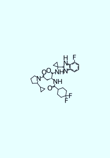 O=C(N[C@@H](CC(=O)N1CCCC1C1CC1)C(=O)NC1(c2nc3cccc(F)c3[nH]2)CC1)C1CCC(F)(F)CC1